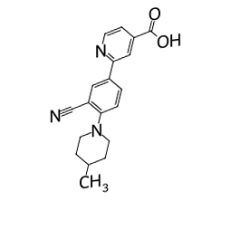 CC1CCN(c2ccc(-c3cc(C(=O)O)ccn3)cc2C#N)CC1